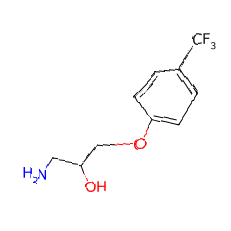 NCC(O)COc1ccc(C(F)(F)F)cc1